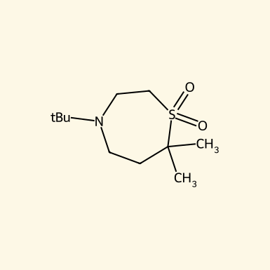 CC(C)(C)N1CCC(C)(C)S(=O)(=O)CC1